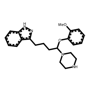 COc1c[c]ccc1OC(CCCc1n[nH]c2ccccc12)N1CCNCC1